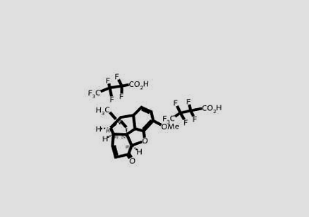 COC1=C2O[C@H]3C(=O)C=C[C@H]4[C@H]5CC(C=C1)C2[C@@]34CCN5C.O=C(O)C(F)(F)C(F)(F)C(F)(F)F.O=C(O)C(F)(F)C(F)(F)C(F)(F)F